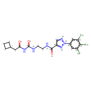 O=C(CC1CCC1)NC(=O)NCCNC(=O)c1cnn(-c2cc(F)c(F)c(F)c2)n1